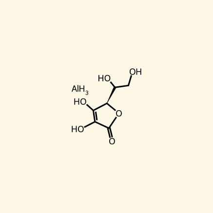 O=C1O[C@H](C(O)CO)C(O)=C1O.[AlH3]